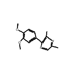 COc1ccc(-c2ncc(C)nc2C)cc1OC